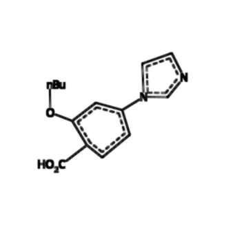 CCCCOc1cc(-n2ccnc2)ccc1C(=O)O